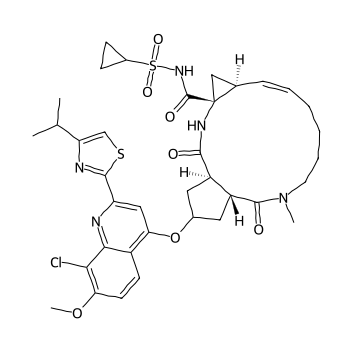 COc1ccc2c(OC3C[C@H]4C(=O)N[C@]5(C(=O)NS(=O)(=O)C6CC6)C[C@H]5/C=C\CCCCN(C)C(=O)[C@@H]4C3)cc(-c3nc(C(C)C)cs3)nc2c1Cl